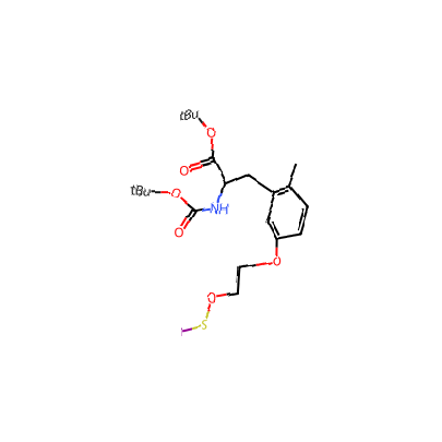 Cc1ccc(OCCOSI)cc1CC(NC(=O)OC(C)(C)C)C(=O)OC(C)(C)C